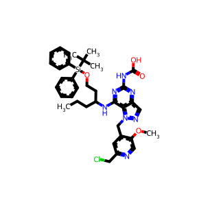 CCCC(CCO[Si](c1ccccc1)(c1ccccc1)C(C)(C)C)Nc1nc(NC(=O)O)nc2cnn(Cc3cc(CCl)ncc3OC)c12